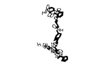 CS(=O)(=O)n1ccc(C(=O)N[C@@H](COCc2ccc(CNC(=O)CCCOc3cccc4c3C(=O)N(C3CCC(=O)NC3=O)C4=O)cc2)C(=O)Nc2nc(-c3ccccc3)cs2)c1